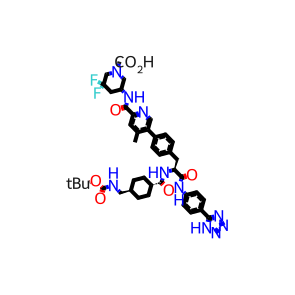 Cc1cc(C(=O)NC2CN(C(=O)O)CC(F)(F)C2)ncc1-c1ccc(C[C@H](NC(=O)[C@H]2CC[C@H](CNC(=O)OC(C)(C)C)CC2)C(=O)Nc2ccc(-c3nnn[nH]3)cc2)cc1